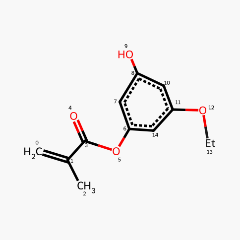 C=C(C)C(=O)Oc1cc(O)cc(OCC)c1